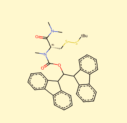 CN(C)C(=O)[C@H](CSSC(C)(C)C)N(C)C(=O)OC(C1c2ccccc2-c2ccccc21)C1c2ccccc2-c2ccccc21